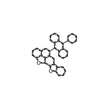 c1ccc(-c2c3ccccc3c(-c3cc4cccc5oc6c7oc8ccccc8c7cc3c6c45)c3ccccc23)cc1